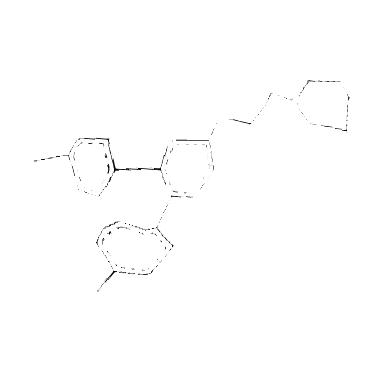 Clc1ccc(-c2ncc(OCCN3CCCCC3)nc2-c2ccc(Cl)cc2)cc1